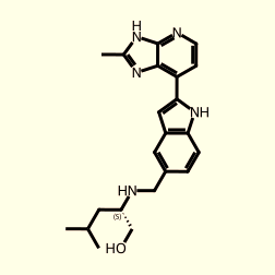 Cc1nc2c(-c3cc4cc(CN[C@H](CO)CC(C)C)ccc4[nH]3)ccnc2[nH]1